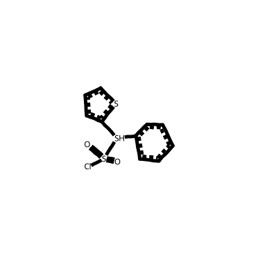 O=S(=O)(Cl)[SH](c1ccccc1)c1cccs1